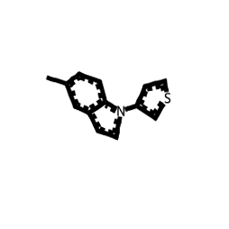 Cc1ccc2c(ccn2-c2ccsc2)c1